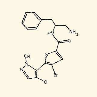 Cn1ncc(Cl)c1-c1sc(C(=O)NC(CN)Cc2ccccc2)cc1Br